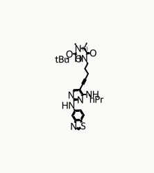 CCCNc1nc(Nc2ccc3scnc3c2)ncc1C#CCCCNC(=O)[C@H](C)N(C)C(=O)OC(C)(C)C